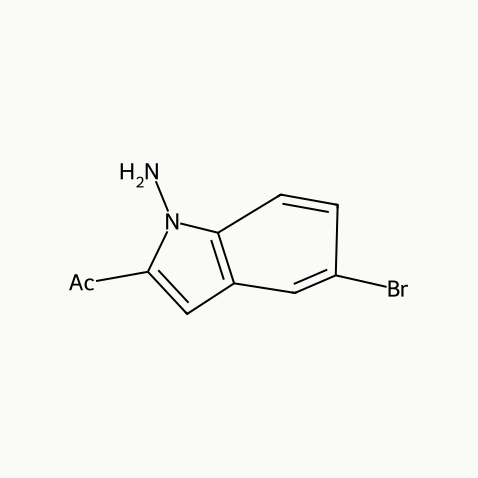 CC(=O)c1cc2cc(Br)ccc2n1N